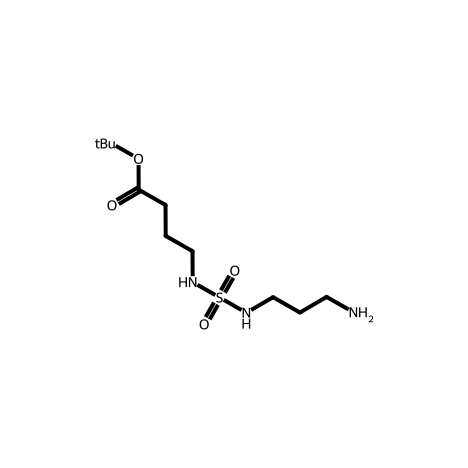 CC(C)(C)OC(=O)CCCNS(=O)(=O)NCCCN